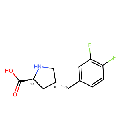 O=C(O)[C@@H]1C[C@@H](Cc2ccc(F)c(F)c2)CN1